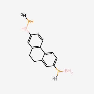 [2H]PBc1ccc2c(c1)CCc1cc(P([2H])B)ccc1-2